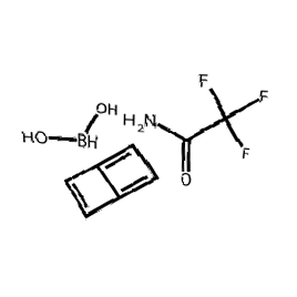 NC(=O)C(F)(F)F.OBO.c1cc2ccc1-2